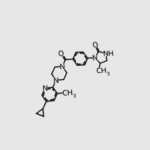 Cc1cc(C2CC2)cnc1N1CCN(C(=O)c2ccc(N3C(=O)NCC3C)cc2)CC1